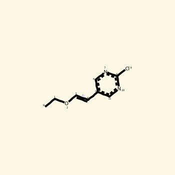 CCO/C=C/c1cnc(Cl)nc1